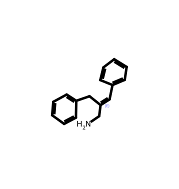 NC/C(=C/c1ccccc1)Cc1ccccc1